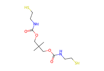 CC(C)(COC(=O)NCCS)COC(=O)NCCS